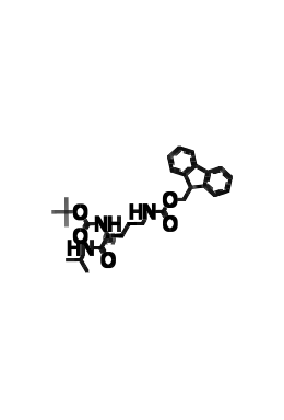 CC(C)NC(=O)[C@H](CCCNC(=O)OCC1c2ccccc2-c2ccccc21)NC(=O)OC(C)(C)C